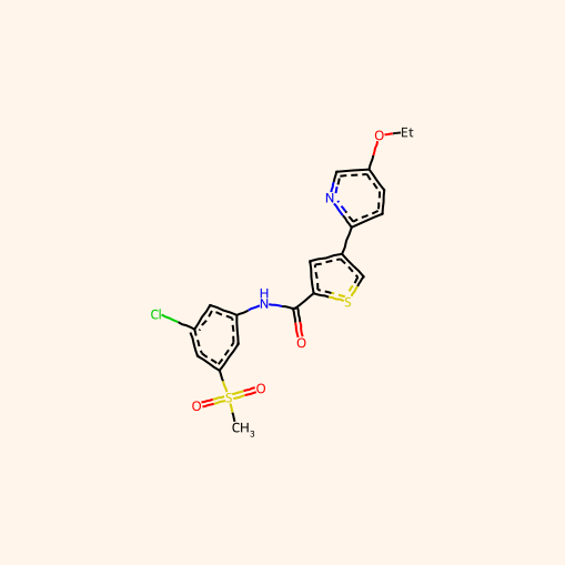 CCOc1ccc(-c2csc(C(=O)Nc3cc(Cl)cc(S(C)(=O)=O)c3)c2)nc1